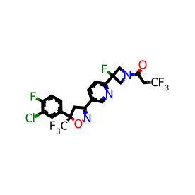 O=C(CC(F)(F)F)N1CC(F)(c2ccc(C3=NOC(c4ccc(F)c(Cl)c4)(C(F)(F)F)C3)cn2)C1